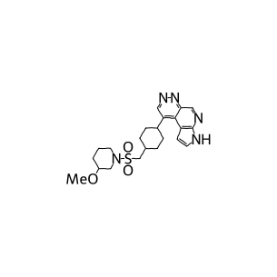 COC1CCCN(S(=O)(=O)CC2CCC(c3cnnc4cnc5[nH]ccc5c34)CC2)C1